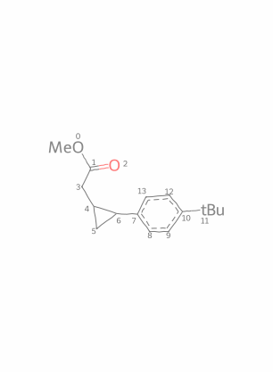 COC(=O)CC1CC1c1ccc(C(C)(C)C)cc1